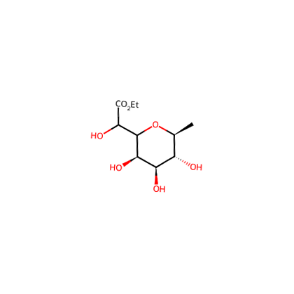 CCOC(=O)C(O)C1O[C@@H](C)[C@H](O)[C@@H](O)[C@H]1O